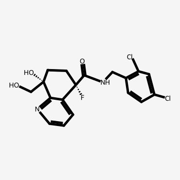 O=C(NCc1ccc(Cl)cc1Cl)[C@]1(F)CC[C@](O)(CO)c2ncccc21